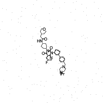 CC(C)N1CCN(Cc2ccc(-c3cccc(-n4c(=O)n([C@H]5CC[C@@H](NC(=O)CC6CCOCC6)CC5)c(=O)c5cc(F)cnc54)c3)cc2)CC1